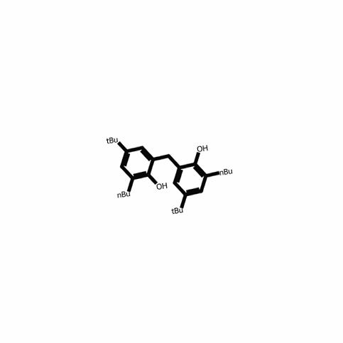 CCCCc1cc(C(C)(C)C)cc(Cc2cc(C(C)(C)C)cc(CCCC)c2O)c1O